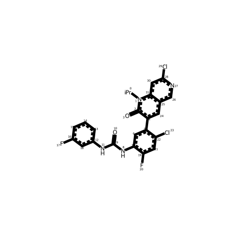 CC(C)n1c(=O)c(-c2cc(NC(=O)Nc3cccc(F)c3)c(F)cc2Cl)cc2cnc(Cl)cc21